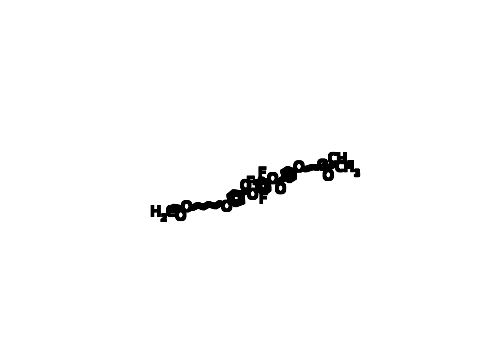 C=CC(=O)OCCCCCCOc1ccc(C(=O)Oc2c(F)cc(OC(=O)c3ccc(OCCCOC(=O)C(=C)C)cc3)c(F)c2F)cc1